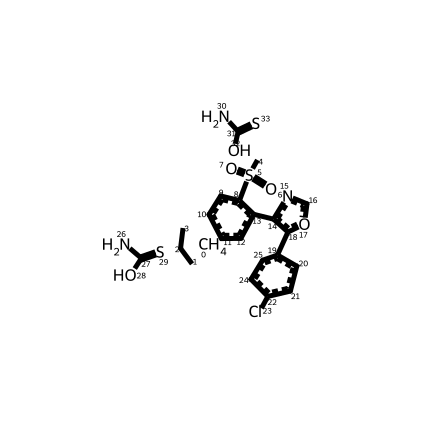 C.CCC.CS(=O)(=O)c1ccccc1-c1ncoc1-c1ccc(Cl)cc1.NC(O)=S.NC(O)=S